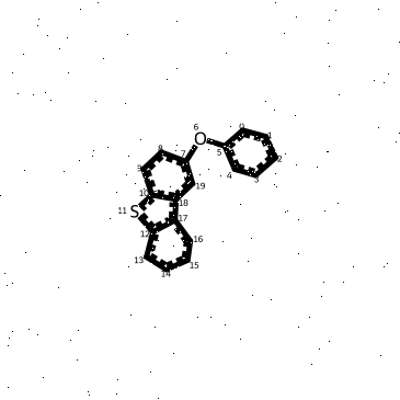 [c]1ccccc1Oc1ccc2sc3ccccc3c2c1